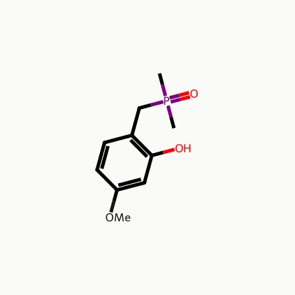 COc1ccc(CP(C)(C)=O)c(O)c1